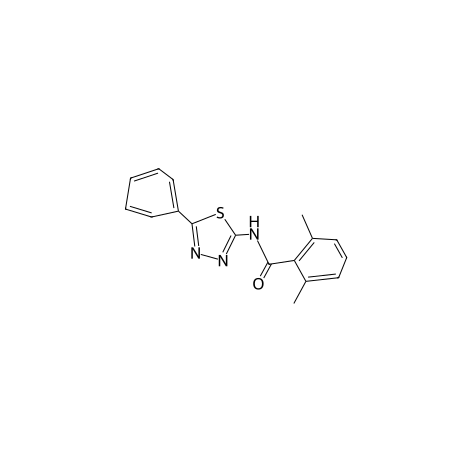 Cc1cccc(C)c1C(=O)Nc1nnc(-c2ccccc2)s1